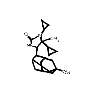 CC1(C2CC2)C(C2C3CC4CC2CC(O)(C4)C3)NC(=O)N1C1CC1